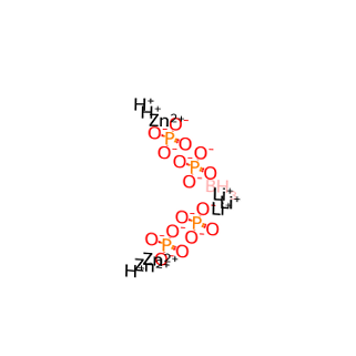 B.O=P([O-])([O-])[O-].O=P([O-])([O-])[O-].O=P([O-])([O-])[O-].O=P([O-])([O-])[O-].[H+].[H+].[H+].[Li+].[Li+].[Li+].[Zn+2].[Zn+2].[Zn+2]